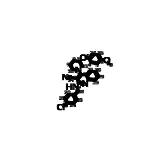 COc1ccc(OC2CCCN(c3c(C#N)c(NCc4ccc(Cl)cc4)nc4ccccc34)C2)cc1